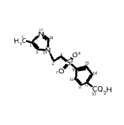 Cc1cn(CCS(=O)(=O)c2ccc(C(=O)O)cc2)cn1